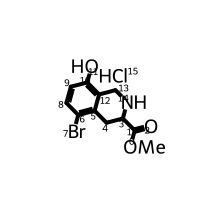 COC(=O)C1Cc2c(Br)ccc(O)c2CN1.Cl